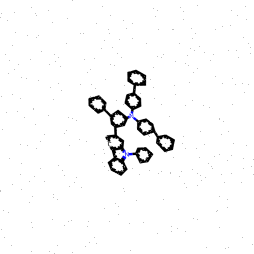 c1ccc(-c2ccc(N(c3ccc(-c4ccccc4)cc3)c3cc(-c4ccccc4)cc(-c4ccc5c6ccccc6n(-c6ccccc6)c5c4)c3)cc2)cc1